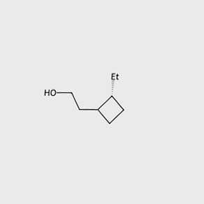 CC[C@@H]1CCC1CCO